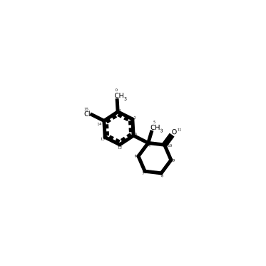 Cc1cc(C2(C)CCCCC2=O)ccc1Cl